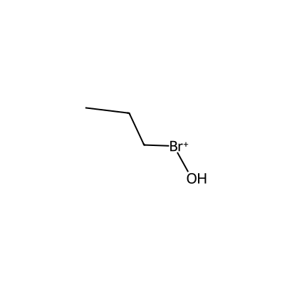 CCC[Br+]O